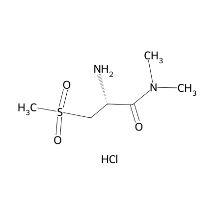 CN(C)C(=O)[C@@H](N)CS(C)(=O)=O.Cl